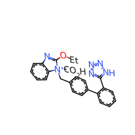 CCOC1=Nc2ccccc2[N+]1(Cc1ccc(-c2ccccc2-c2nnn[nH]2)cc1)C(=O)O